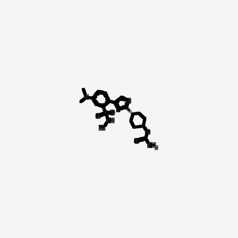 CCNS(=O)(=O)c1cc(N(C)C)ccc1-c1cnc([C@H]2CC[C@H](OC(N)=O)CC2)s1